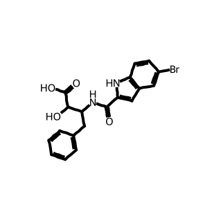 O=C(NC(Cc1ccccc1)C(O)C(=O)O)c1cc2cc(Br)ccc2[nH]1